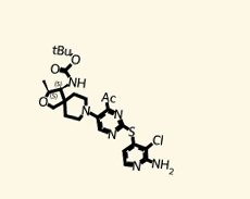 CC(=O)c1nc(Sc2ccnc(N)c2Cl)ncc1N1CCC2(CC1)CO[C@@H](C)[C@H]2NC(=O)OC(C)(C)C